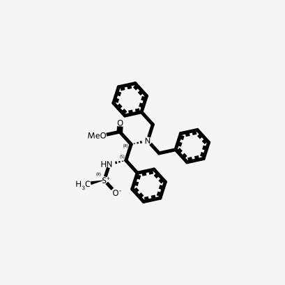 COC(=O)[C@@H]([C@@H](N[S@+](C)[O-])c1ccccc1)N(Cc1ccccc1)Cc1ccccc1